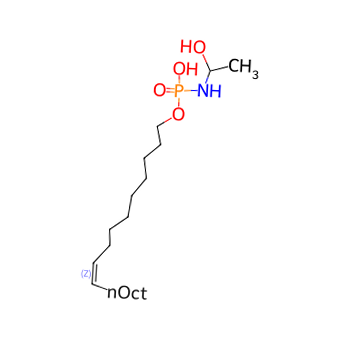 CCCCCCCC/C=C\CCCCCCCCOP(=O)(O)NC(C)O